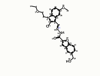 CCOCCn1c(Cl)c(/C=N/NC(=O)c2cc3cc(CO)ccc3o2)c2cc(OC)ccc21